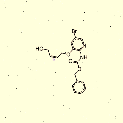 O=C(Nc1ncc(Br)cc1OC/C=C\CO)OCc1ccccc1